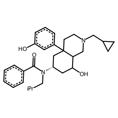 CC(C)CN(C(=O)c1ccccc1)[C@H]1CC(O)C2CN(CC3CC3)CCC2(c2cccc(O)c2)C1